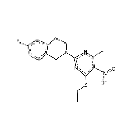 CCSc1nc(N2CCc3cc(F)ccc3C2)nc(C)c1[N+](=O)[O-]